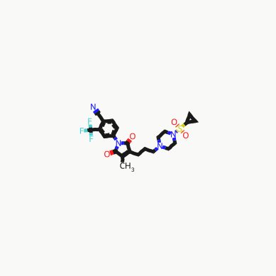 CC1=C(CCCN2CCN(S(=O)(=O)C3CC3)CC2)C(=O)N(c2ccc(C#N)c(C(F)(F)F)c2)C1=O